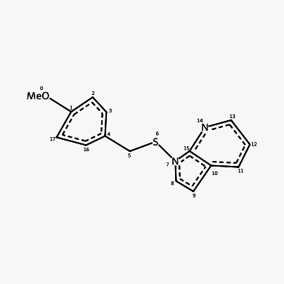 COc1ccc(CSn2ccc3cccnc32)cc1